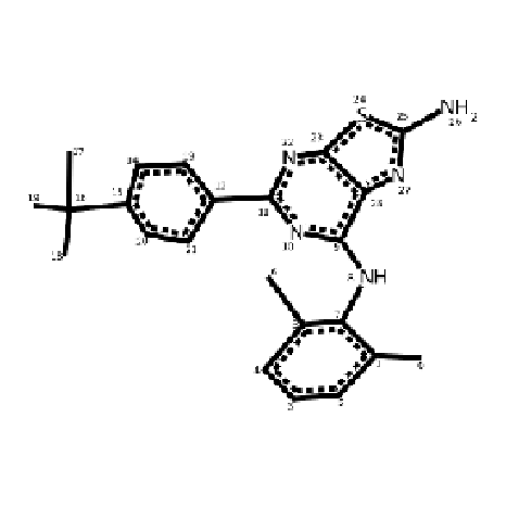 Cc1cccc(C)c1Nc1nc(-c2ccc(C(C)(C)C)cc2)nc2sc(N)nc12